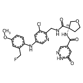 COc1ccc(Nc2cnc(CNC(=O)[C@]3(NC(=O)c4cn[nH]c(=O)c4)CCOC3)c(Cl)c2)c(CF)c1